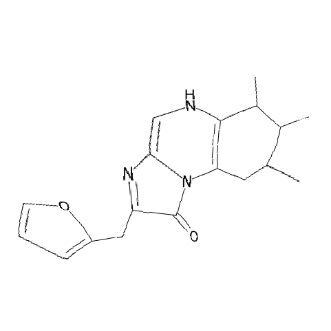 CC1Cc2c([nH]cc3nc(Cc4ccco4)c(=O)n2-3)C(C)C1C